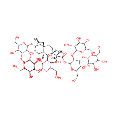 C=C1C[C@@]23CC[C@H]4[C@@](C)(CCC[C@@]4(C)C(=O)OC4OC(CO)C(O)C(OC5OC(CO)C(O)C(O)C5O)C4OC4OC(CO)C(O)C(O)C4O)[C@@H]2CC[C@]1(OC1OC(CO)C(O)C(OC2OC(CC)C(O)C(O)C2O)C1OC1OC(CO)C(O)C(OC2OC(CO)C(O)C(O)C2O)C1O)C3